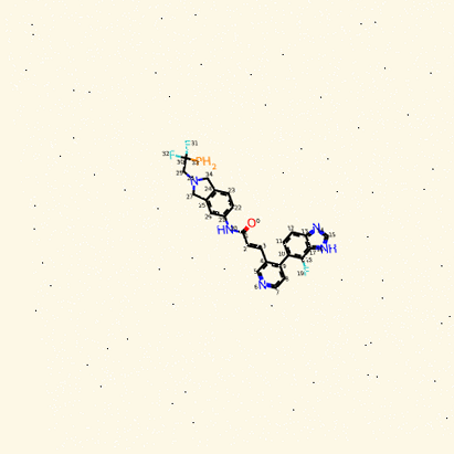 O=C(/C=C/c1cnccc1-c1ccc2nc[nH]c2c1F)Nc1ccc2c(c1)CN(CC(F)(F)P)C2